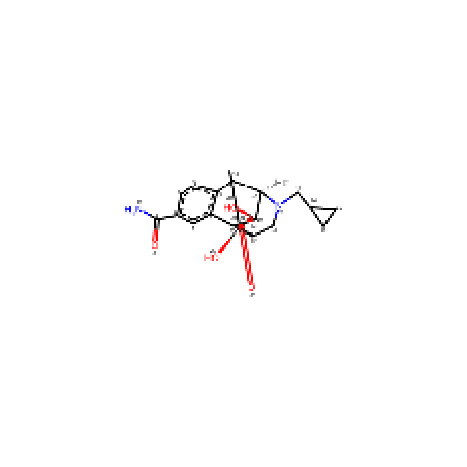 NC(=O)c1ccc2c(c1)[C@]13CCN(CC4CC4)[C@H](C2)[C@]1(O)CCC(=O)[C@@H]3O